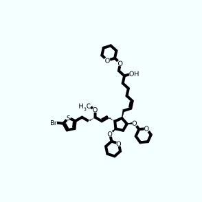 CO[C@H](/C=C/[C@@H]1[C@@H](C/C=C\CCCC(O)COC2CCCCO2)[C@@H](OC2CCCCO2)C[C@H]1OC1CCCCO1)CCc1ccc(Br)s1